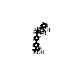 O=C(O)C1(c2ccc(-c3ccc(-c4oncc4CS(=O)(=O)Nc4ccccc4Cl)cc3)cc2)CC1